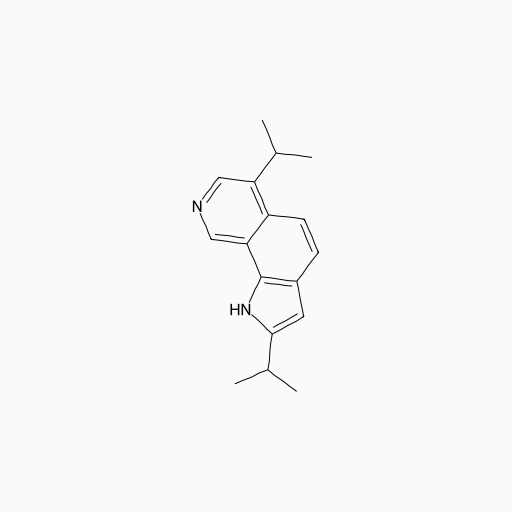 CC(C)c1cc2ccc3c(C(C)C)cncc3c2[nH]1